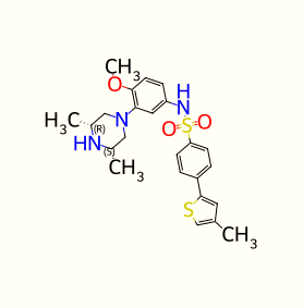 COc1ccc(NS(=O)(=O)c2ccc(-c3cc(C)cs3)cc2)cc1N1C[C@@H](C)N[C@@H](C)C1